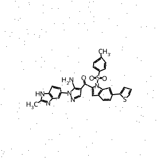 Cc1ccc(S(=O)(=O)n2c(C(=O)c3cnn(-c4ccc5[nH]c(C)nc5c4)c3N)cc3ccc(-c4cccs4)cc32)cc1